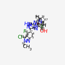 CCn1nc2ccc(-c3n[nH]c4nc(N5[C@H]6CC[C@@H]5[C@@H](F)[C@@H](N)C6)c(CO)nc34)c(F)c2c1Cl